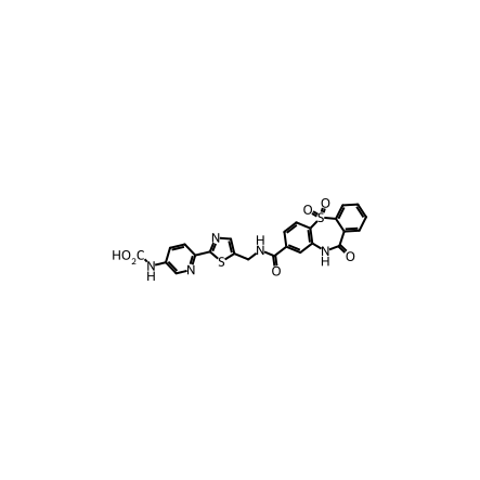 O=C(O)Nc1ccc(-c2ncc(CNC(=O)c3ccc4c(c3)NC(=O)c3ccccc3S4(=O)=O)s2)nc1